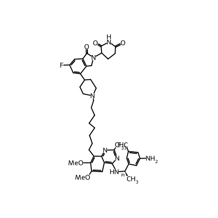 COc1cc2c(N[C@H](C)c3cc(N)cc(C(F)(F)F)c3)nc(C)nc2c(CCCCCCCCN2CCC(c3cc(F)cc4c3CN(C3CCC(=O)NC3=O)C4=O)CC2)c1OC